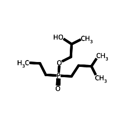 CCCP(=O)(CCC(C)C)OCC(C)O